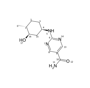 C[C@@H]1CC[C@@H](Nc2ncc(C(N)=O)cn2)C[C@H]1O